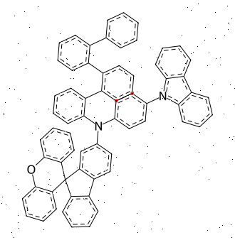 c1ccc(-c2ccccc2-c2ccccc2-c2ccccc2N(c2ccc(-n3c4ccccc4c4ccccc43)cc2)c2ccc3c(c2)C2(c4ccccc4Oc4ccccc42)c2ccccc2-3)cc1